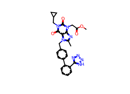 COC(=O)Cn1c(=O)n(CC2CC2)c(=O)c2c1nc(C)n2Cc1ccc(-c2ccccc2-c2nnn[nH]2)cc1